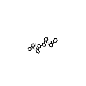 c1ccc2c(c1)oc1c(-n3c4ccccc4c4cc(-c5ccc6c(c5)c5ccccc5n6-c5cccc6c5sc5ccccc56)ccc43)nccc12